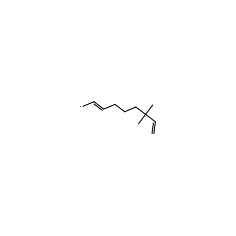 [CH2]C=CCCCC(C)(C)C=C